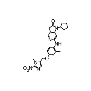 Cc1cc(OCc2cnc([N+](=O)[O-])n2C)ccc1Nc1cc2c(cn1)CC(=O)N2C1CCCC1